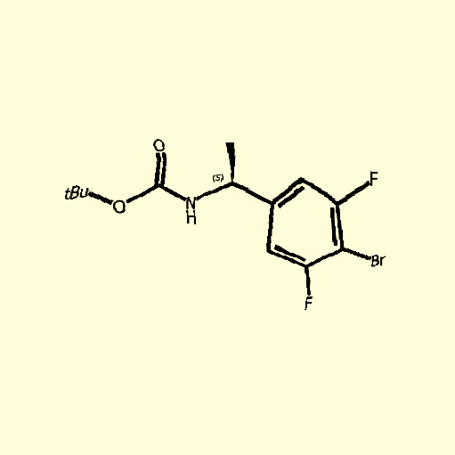 C[C@H](NC(=O)OC(C)(C)C)c1cc(F)c(Br)c(F)c1